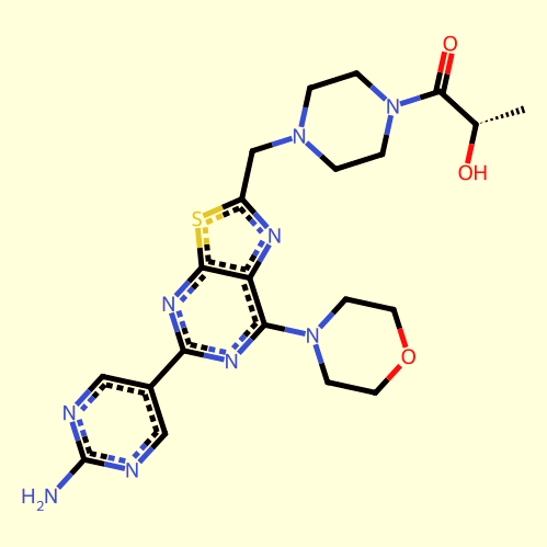 C[C@H](O)C(=O)N1CCN(Cc2nc3c(N4CCOCC4)nc(-c4cnc(N)nc4)nc3s2)CC1